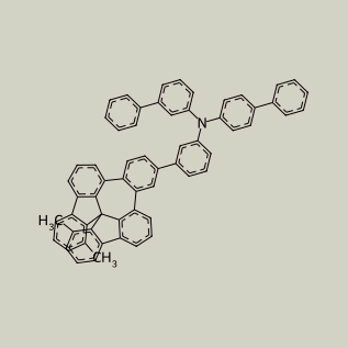 Cc1cccc2c1C13c4c(C)cccc4-c4cccc(c41)-c1cc(-c4cccc(N(c5ccc(-c6ccccc6)cc5)c5cccc(-c6ccccc6)c5)c4)ccc1-c1cccc-2c13